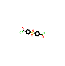 O=C(Cl)c1ccc(S(=O)(=O)c2ccc(C(=O)Cl)cc2)cc1